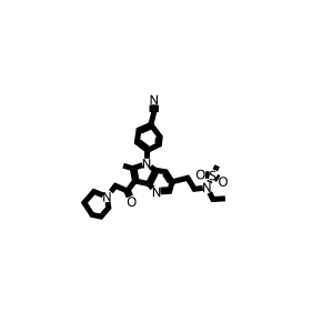 CCN(CCc1cnc2c(C(=O)CN3CCCCC3)c(C)n(-c3ccc(C#N)cc3)c2c1)S(C)(=O)=O